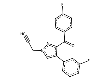 C#CCn1cc(-c2cccc(F)c2)c(C(=O)c2ccc(F)cc2)n1